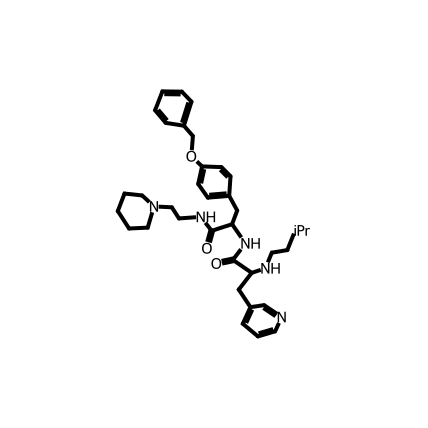 CC(C)CCNC(Cc1cccnc1)C(=O)NC(Cc1ccc(OCc2ccccc2)cc1)C(=O)NCCN1CCCCC1